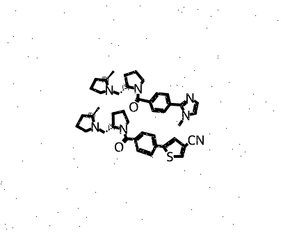 C[C@@H]1CCCN1C[C@@H]1CCCN1C(=O)c1ccc(-c2cc(C#N)cs2)cc1.C[C@@H]1CCCN1C[C@@H]1CCCN1C(=O)c1ccc(-c2nccn2C)cc1